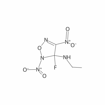 CCNC1(F)C([N+](=O)[O-])=NON1[N+](=O)[O-]